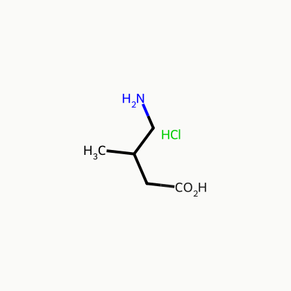 CC(CN)CC(=O)O.Cl